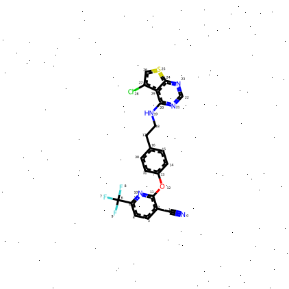 N#Cc1ccc(C(F)(F)F)nc1Oc1ccc(CCNc2ncnc3scc(Cl)c23)cc1